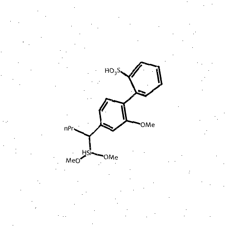 CCCC(c1ccc(-c2ccccc2S(=O)(=O)O)c(OC)c1)[SiH](OC)OC